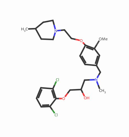 COc1cc(CN(C)CC(O)COc2c(Cl)cccc2Cl)ccc1OCCN1CCC(C)CC1